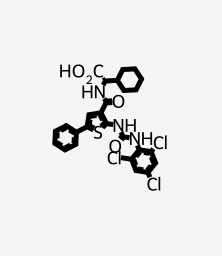 O=C(Nc1sc(-c2ccccc2)cc1C(=O)N[C@@H](C(=O)O)C1CCCCC1)Nc1c(Cl)cc(Cl)cc1Cl